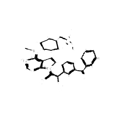 CNS(=O)(=O)C[C@H]1CC[C@H](N(C)c2ncnc3c2ccn3C(=O)C(C)c2cccc(C(=O)c3ccccc3)c2)CC1